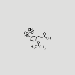 CC(C)Oc1ccc(NS(C)(=O)=O)cc1CCC(=O)O